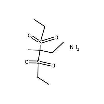 CCC(C)(S(=O)(=O)CC)S(=O)(=O)CC.N